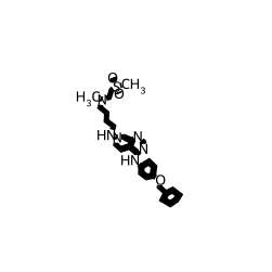 CN(CCCCNN1C=c2ncnc(Nc3ccc(OCc4ccccc4)cc3)c2=CC1)CCS(C)(=O)=O